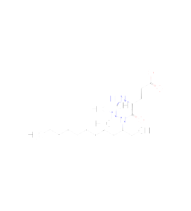 CCCCCCCCCC(CC)N(C(=O)C(N)CCC(=O)[O-])[N+](C)(C)C